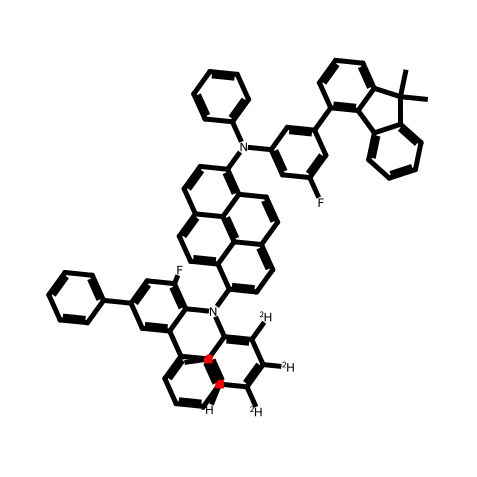 [2H]c1c([2H])c([2H])c(N(c2c(F)cc(-c3ccccc3)cc2-c2ccccc2)c2ccc3ccc4c(N(c5ccccc5)c5cc(F)cc(-c6cccc7c6-c6ccccc6C7(C)C)c5)ccc5ccc2c3c54)c(F)c1[2H]